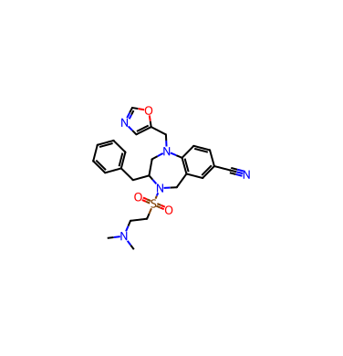 CN(C)CCS(=O)(=O)N1Cc2cc(C#N)ccc2N(Cc2cnco2)CC1Cc1ccccc1